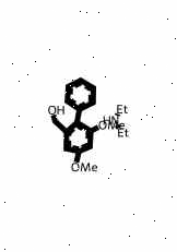 CCNCC.COc1cc(CO)c(-c2ccccc2)c(OC)c1